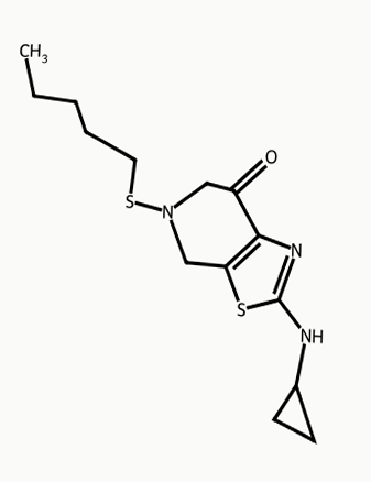 CCCCCSN1CC(=O)c2nc(NC3CC3)sc2C1